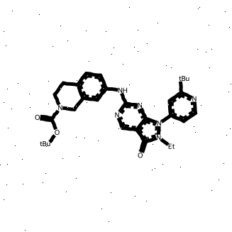 CCn1c(=O)c2cnc(Nc3ccc4c(c3)CN(C(=O)OC(C)(C)C)CC4)nc2n1-c1ccnc(C(C)(C)C)c1